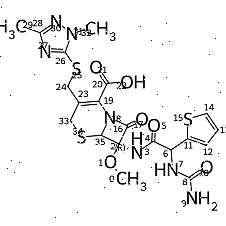 CO[C@]1(NC(=O)C(NC(N)=O)c2cccs2)C(=O)N2C(C(=O)O)=C(CSc3nc(C)nn3C)CSC21